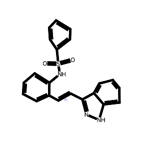 O=S(=O)(Nc1ccccc1/C=C/c1n[nH]c2ccccc12)c1ccccc1